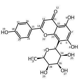 C[C@H]1O[C@@H](c2c(O)cc(O)c3c(=O)cc(-c4ccc(O)cc4)oc23)[C@@H](O)[C@@H](O)[C@H]1O